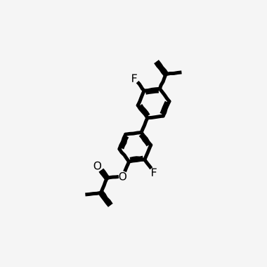 C=C(C)C(=O)Oc1ccc(-c2ccc(C(=C)C)c(F)c2)cc1F